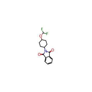 O=C1c2ccccc2C(=O)N1C1CCC(OC(F)F)CC1